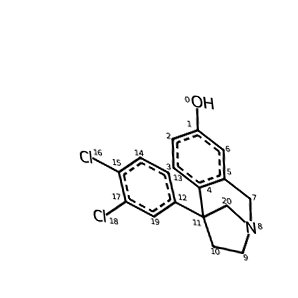 Oc1ccc2c(c1)CN1CCC2(c2ccc(Cl)c(Cl)c2)C1